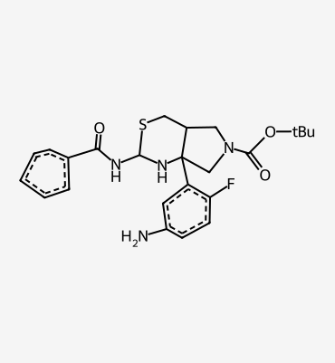 CC(C)(C)OC(=O)N1CC2CSC(NC(=O)c3ccccc3)NC2(c2cc(N)ccc2F)C1